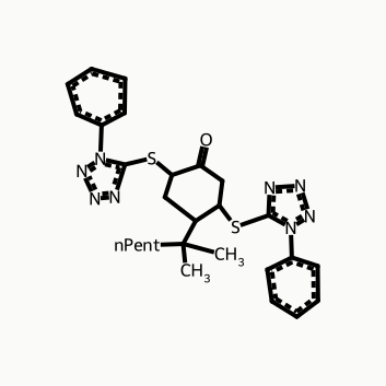 CCCCCC(C)(C)C1CC(Sc2nnnn2-c2ccccc2)C(=O)CC1Sc1nnnn1-c1ccccc1